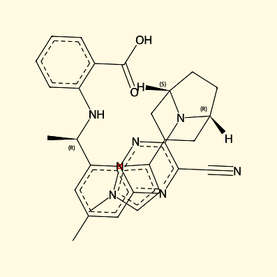 Cc1cc([C@@H](C)Nc2ccccc2C(=O)O)c2nc(N3[C@@H]4CC[C@H]3CC(c3ccn(C)n3)C4)c(C#N)nc2c1